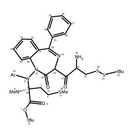 CN[C@](CCSC)(C(=O)OC(C)(C)C)N(C(C)=O)N1C(=O)C(C(=O)C(N)CSSC(C)(C)C)N=C(c2ccccc2)c2ccccc21